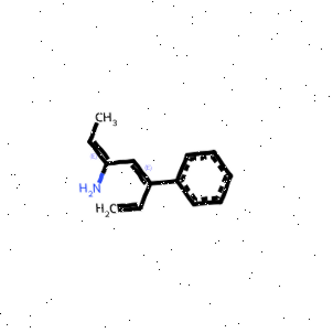 C=C/C(=C\C(N)=C/C)c1ccccc1